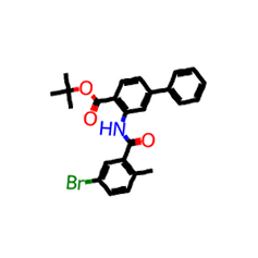 Cc1ccc(Br)cc1C(=O)Nc1cc(-c2ccccc2)ccc1C(=O)OC(C)(C)C